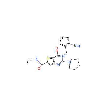 N#Cc1ccccc1Cn1c(N2CCCCC2)nc2cc(C(=O)NC3CC3)sc2c1=O